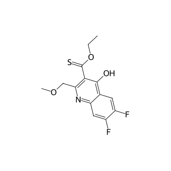 CCOC(=S)c1c(COC)nc2cc(F)c(F)cc2c1O